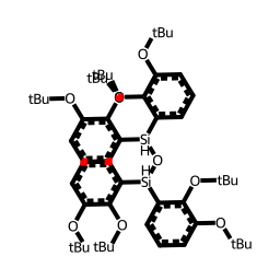 CC(C)(C)Oc1cccc([SiH](O[SiH](c2cccc(OC(C)(C)C)c2OC(C)(C)C)c2cccc(OC(C)(C)C)c2OC(C)(C)C)c2cccc(OC(C)(C)C)c2OC(C)(C)C)c1OC(C)(C)C